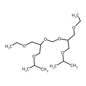 CCOCC(COC(C)C)OCOC(COCC)COC(C)C